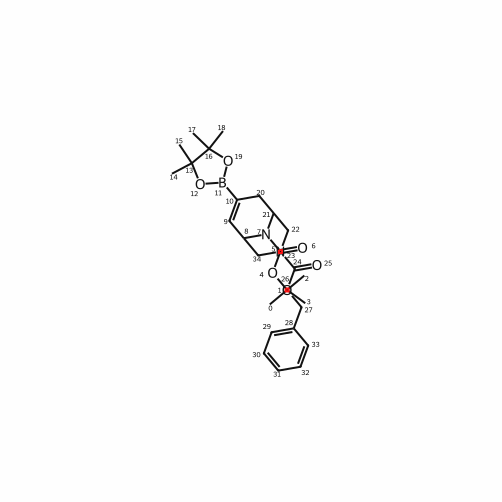 CC(C)(C)OC(=O)N1C2C=C(B3OC(C)(C)C(C)(C)O3)CC1CN(C(=O)OCc1ccccc1)C2